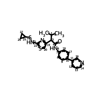 CC(C)C(C(=O)Nc1ccc(-c2cccnc2)cc1)c1csc(NSC2CC2)n1